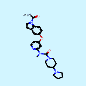 CNC(=O)n1ccc2cc(Oc3ccnc(N(C)C(=O)N4CCC(N5CCCC5)CC4)c3)ccc21